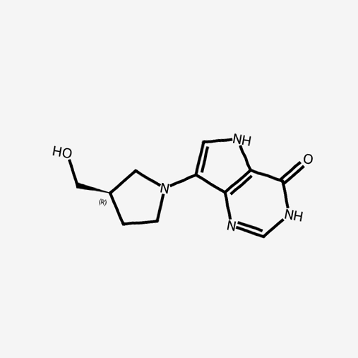 O=c1[nH]cnc2c(N3CC[C@@H](CO)C3)c[nH]c12